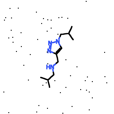 CC(C)CNCc1cn(CC(C)C)nn1